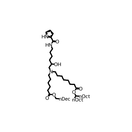 CCCCCCCCCCCOC(=O)CCCCCN(CCCCCCCC(=O)OC(CCCCCCCC)CCCCCCCC)CC(O)CCCCNC(=O)c1ccc[nH]1